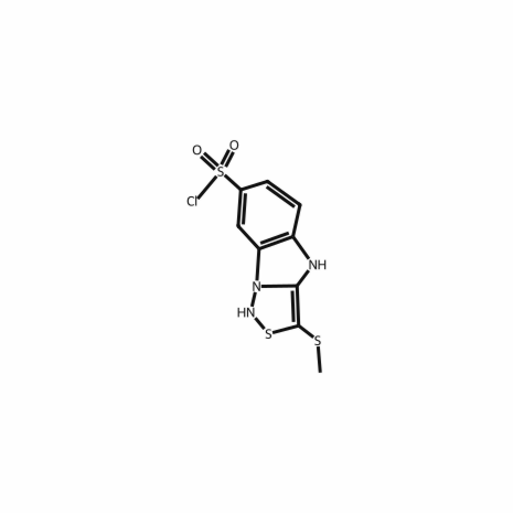 CSC1=C2Nc3ccc(S(=O)(=O)Cl)cc3N2NS1